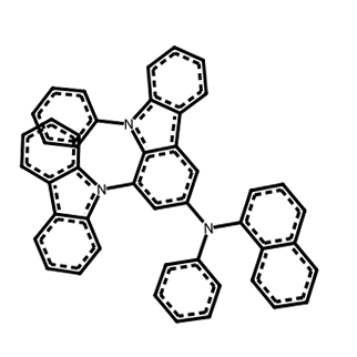 c1ccc(N(c2cc(-n3c4ccccc4c4ccccc43)c3c(c2)c2ccccc2n3-c2ccccc2)c2cccc3ccccc23)cc1